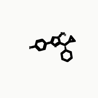 Nn1cc(-c2ccc(F)cc2)nc1[C@@H](C1CCCCC1)C1CC1